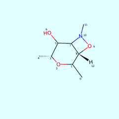 CC1O[C@H](C)C(O)C2[C@@H]1ON2C